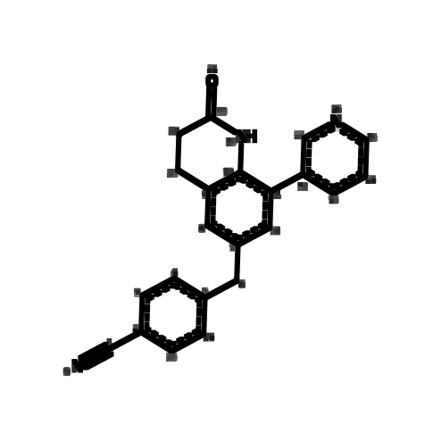 N#Cc1ccc(Cc2cc3c(c(-c4cccnc4)c2)NC(=O)CC3)cc1